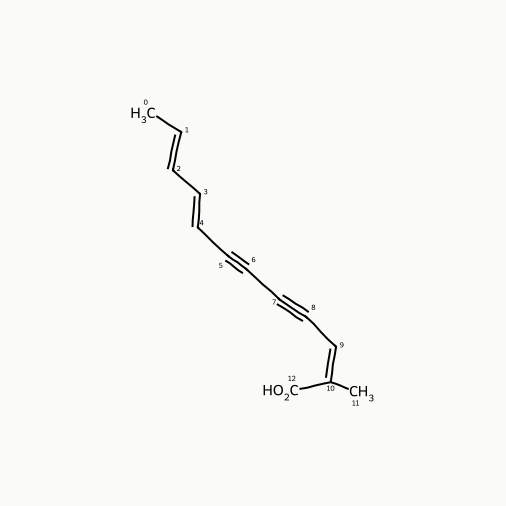 CC=CC=CC#CC#C/C=C(/C)C(=O)O